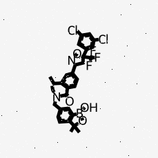 CCc1cc(C2=NOC(c3cc(Cl)cc(Cl)c3)(C(F)(F)F)C2)ccc1C(=O)N(CC)Cc1ccc2c(c1)B(O)OC2(C)C